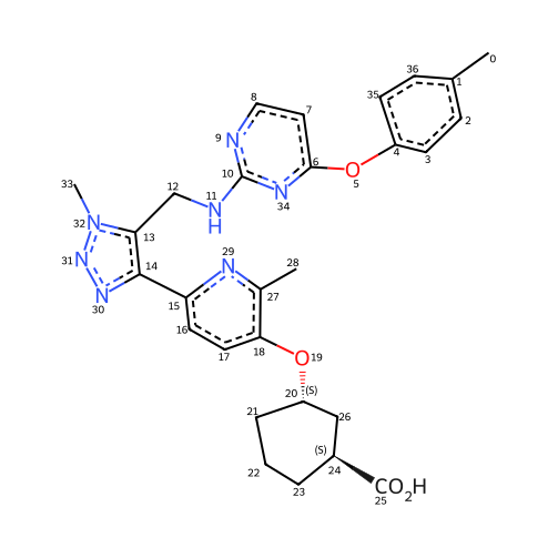 Cc1ccc(Oc2ccnc(NCc3c(-c4ccc(O[C@H]5CCC[C@H](C(=O)O)C5)c(C)n4)nnn3C)n2)cc1